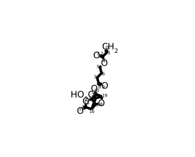 C=CC(=O)OCCCC(=O)OC1C2OC(=O)C3C2OC1C3C(=O)O